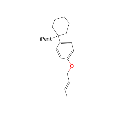 C/C=C/COc1ccc(C2(C(C)CCC)CCCCC2)cc1